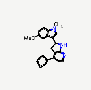 COc1ccc2c(c1)c(C1Cc3c(-c4ccccc4)ccnc3N1)cn2C